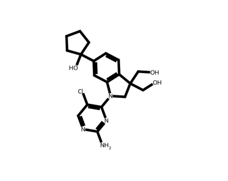 Nc1ncc(Cl)c(N2CC(CO)(CO)c3ccc(C4(O)CCCC4)cc32)n1